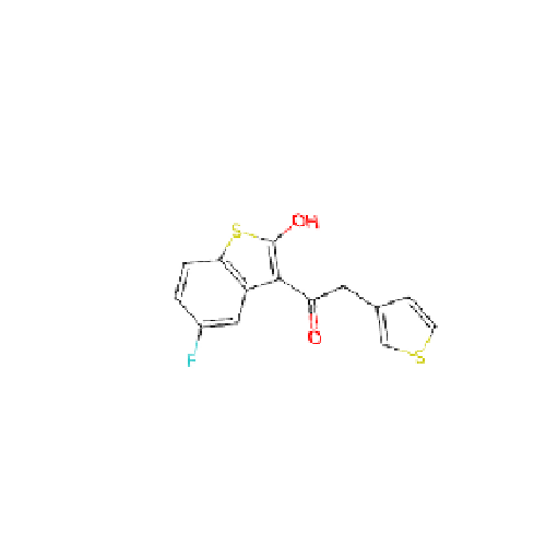 O=C(Cc1ccsc1)c1c(O)sc2ccc(F)cc12